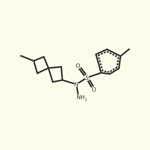 Cc1ccc(S(=O)(=O)N(N)C2CC3(CC(C)C3)C2)cc1